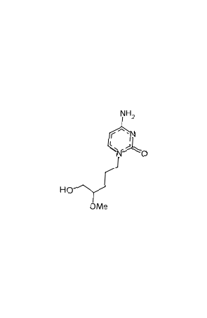 COC(CO)CCCn1ccc(N)nc1=O